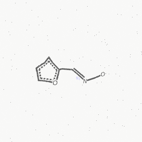 [O]/N=C/c1ccco1